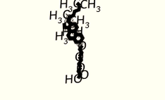 CC(C)CCC[C@@H](C)[C@H]1CC[C@H]2[C@@H]3CC=C4C[C@@H](OCCOCCOCC(=O)O)CC[C@]4(C)[C@H]3CC[C@]12C